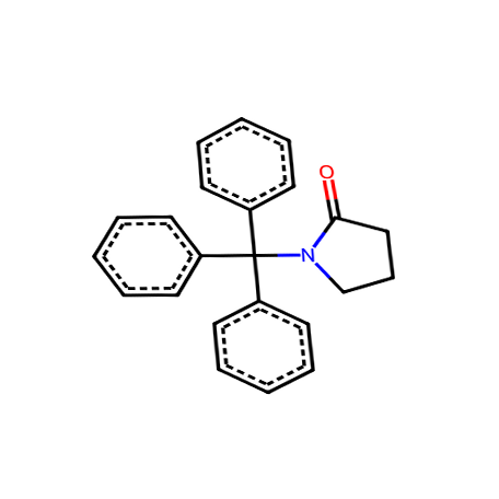 O=C1CCCN1C(c1ccccc1)(c1ccccc1)c1ccccc1